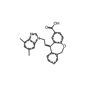 Cc1cc(C)c2ncn(CC=C3c4ccccc4COc4ccc(C(=O)O)cc43)c2c1